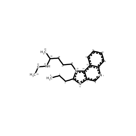 CCCc1nc2cnc3ccccc3c2n1CCCC(C)NOC